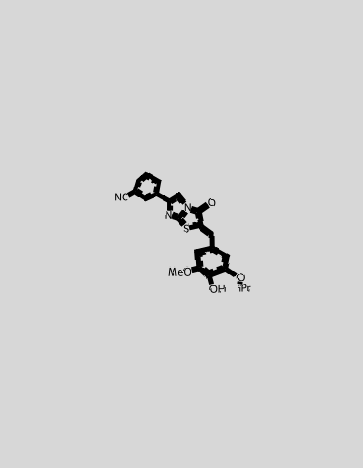 COc1cc(/C=c2\sc3nc(-c4cccc(C#N)c4)cn3c2=O)cc(OC(C)C)c1O